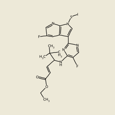 CCOC(=O)/C=C/C(Nc1nc(-c2cn(SI)c3ncc(F)cc23)ncc1F)C(C)(C)C